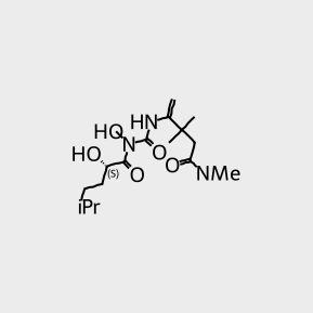 C=C(NC(=O)N(O)C(=O)[C@@H](O)CCC(C)C)C(C)(C)CC(=O)NC